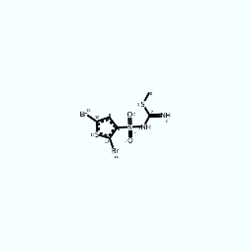 CSC(=N)NS(=O)(=O)c1cc(Br)sc1Br